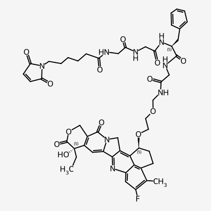 CC[C@@]1(O)C(=O)OCc2c1cc1n(c2=O)Cc2c-1nc1cc(F)c(C)c3c1c2[C@@H](OCCOCNC(=O)CNC(=O)[C@H](Cc1ccccc1)NC(=O)CNC(=O)CNC(=O)CCCCCN1C(=O)C=CC1=O)CC3